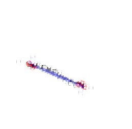 COC(=O)NC(=O)OC/C(C)=C/CC/C(C)=C/C=C/C(C)=C/C=C/C(C)=C/C=C/C=C(C)/C=C/C=C(C)/C=C/C=C(\C)CC/C=C(\C)COC(=O)NC(=O)OC